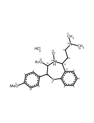 COc1ccc(C2Sc3ccccc3C(CCN(C)C)[NH+]([O-])C2OC(C)=O)cc1.Cl